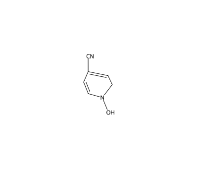 N#CC1=CCN(O)C=C1